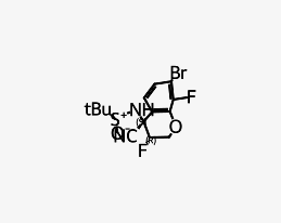 CC(C)(C)[S+]([O-])N[C@]1(C#N)c2ccc(Br)c(F)c2OC[C@@H]1F